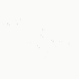 COc1nc(Oc2ccc([C@@H](C)N)cc2)cnc1NS(=O)(=O)c1cccc(Cl)c1Cl.Cl